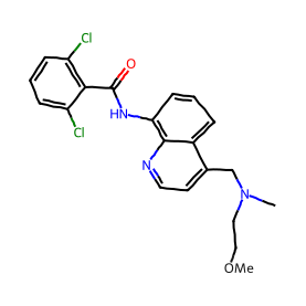 COCCN(C)Cc1ccnc2c(NC(=O)c3c(Cl)cccc3Cl)cccc12